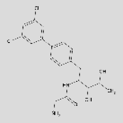 CC(O)C(O)C(Cc1ccc(-c2cc(Cl)cc(Cl)c2)cc1)NC(=O)CN